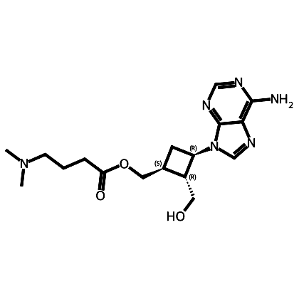 CN(C)CCCC(=O)OC[C@H]1C[C@@H](n2cnc3c(N)ncnc32)[C@@H]1CO